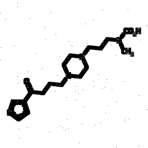 CN(CCCN1CCN(CCCC(=O)c2ccsc2)CC1)C(=O)O